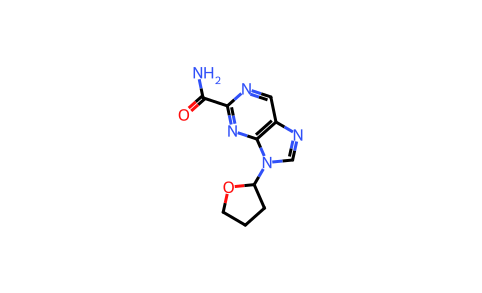 NC(=O)c1ncc2ncn(C3CCCO3)c2n1